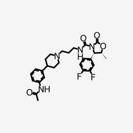 CC(=O)Nc1cccc(C2CCN(CCCNC(=O)N3C(=O)O[C@H](C)[C@@H]3c3ccc(F)c(F)c3)CC2)c1